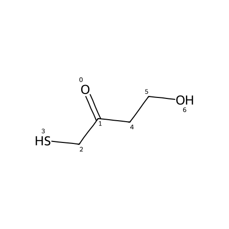 O=C(CS)CCO